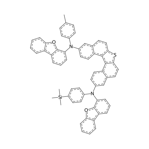 Cc1ccc(N(c2ccc3c(ccc4sc5ccc6cc(N(c7ccc([Si](C)(C)C)cc7)c7cccc8c7oc7ccccc78)ccc6c5c43)c2)c2cccc3c2oc2ccccc23)cc1